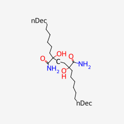 CCCCCCCCCCCCCCCCC(O)(CCC(O)(CCCCCCCCCCCCCCCC)C(N)=O)C(N)=O